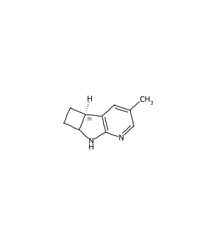 Cc1cnc2c(c1)[C@@H]1CCC1N2